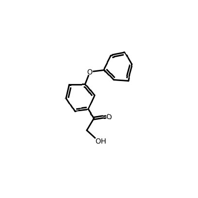 O=C(CO)c1cccc(Oc2ccccc2)c1